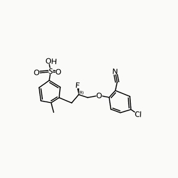 Cc1ccc(S(=O)(=O)O)cc1C[C@@H](F)COc1ccc(Cl)cc1C#N